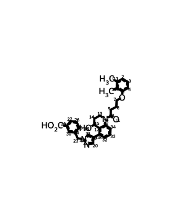 Cc1cccc(OCCCC(=O)N2CCC(O)c3c(-c4cnn(Cc5cccc(C(=O)O)c5)c4)cccc32)c1C